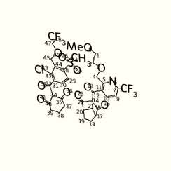 COCCOCc1nc(C(F)(F)F)ccc1C(=O)C1C(=O)C2CCC(C2)C1=O.CS(=O)(=O)c1ccc(C(=O)C2C(=O)CCCC2=O)c(Cl)c1COCC(F)(F)F